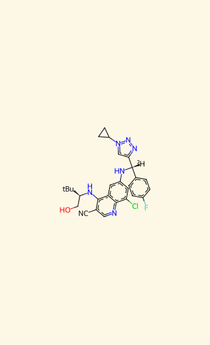 [2H][C@](Nc1cc(Cl)c2ncc(C#N)c(N[C@@H](CO)C(C)(C)C)c2c1)(c1ccc(F)cc1)c1cn(C2CC2)nn1